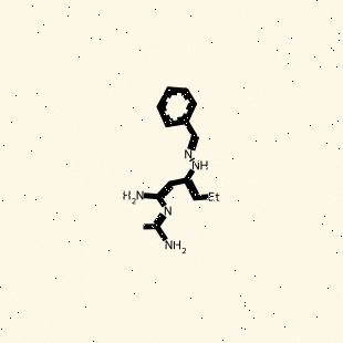 CC/C=C(/C=C(N)\N=C(/C)N)N/N=C/c1ccccc1